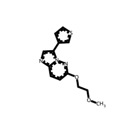 COCCOc1ccc2ncc(-c3ccsc3)n2n1